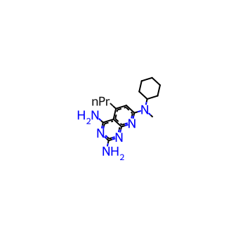 CCCc1cc(N(C)C2CCCCC2)nc2nc(N)nc(N)c12